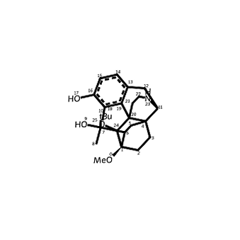 CO[C@]12CCC3(CC1C(C)(O)C(C)(C)C)C1Cc4ccc(O)c5c4C3(CCN1)C2O5